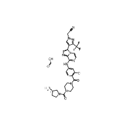 N#CCn1cc(-c2cnc3c(Nc4ccc(C(=O)N5CCN(C(=O)N6CC[C@@H](N)C6)CC5)c(Cl)c4)nccn23)c(C(F)(F)F)n1.O=CO